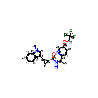 C[C@@H](NC(=O)[C@@H]1C[C@H]1c1cn(C)c2ccccc12)c1ccc(OCC(F)(F)F)cn1